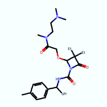 CCCC(NC(=O)N1C(=O)C(CC)(CC)C1OCC(=O)N(C)CCN(C)C)c1ccc(C)cc1